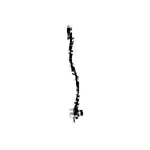 C[Si](Cl)(Cl)CCCCCCCCCCCCCCCCCCCCCCCCCCCCCCCCCCCCCI